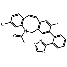 CC(=O)N1Cc2cc(-c3ccccc3-c3nnco3)c(F)cc2C=Cc2ccc(Cl)cc21